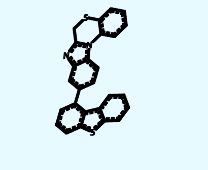 c1ccc2c(c1)SCc1nc3cc(-c4cccc5sc6ccccc6c45)ccc3n1-2